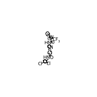 O=C(Nc1ccc(N2CCN(C(=O)NCc3ccc(Cl)cc3Cl)CC2)nc1)c1oc(N2CCCCC2)nc1C(F)(F)F